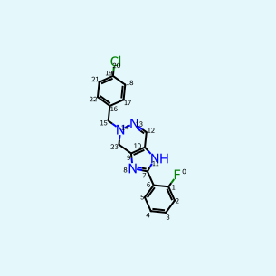 Fc1ccccc1-c1nc2c([nH]1)C=NN(Cc1ccc(Cl)cc1)C2